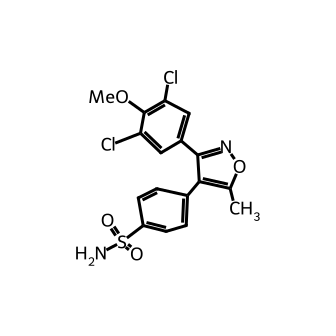 COc1c(Cl)cc(-c2noc(C)c2-c2ccc(S(N)(=O)=O)cc2)cc1Cl